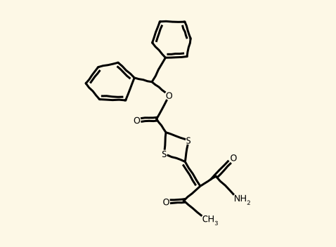 CC(=O)C(C(N)=O)=C1SC(C(=O)OC(c2ccccc2)c2ccccc2)S1